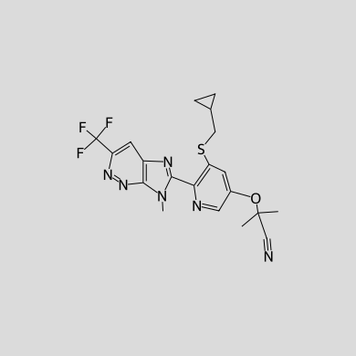 Cn1c(-c2ncc(OC(C)(C)C#N)cc2SCC2CC2)nc2cc(C(F)(F)F)nnc21